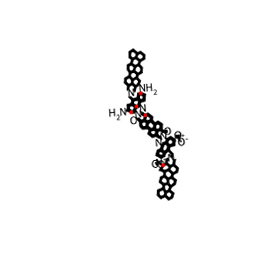 Nc1ccc2c(c1)c(CN1CC3CCC4C5CCC6C7CCCC8CCCC(C9CCC(C%10CCC(C1)C3C4%10)C5C69)C87)c1cc(N)cc3c1c2nc1c2ccc4c5ccc6c(=O)n7c8cc([N+](=O)[O-])cc9c(CN%10CC%11CCC%12C%13CCC%14C%15CCCC%16CCCC(C%17CCC(C%18CCC(C%10)C%11C%12%18)C%13C%14%17)C%16%15)c%10cc([N+](=O)[O-])ccc%10c(nc7c7ccc(c%10ccc(c(=O)n31)c2c4%10)c5c67)c98